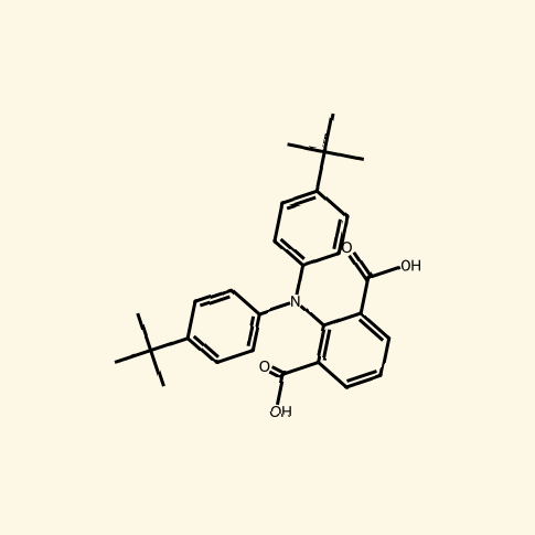 CC(C)(C)c1ccc(N(c2ccc(C(C)(C)C)cc2)c2c(C(=O)O)cccc2C(=O)O)cc1